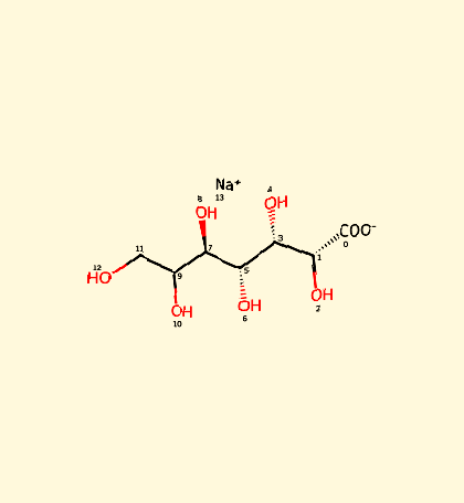 O=C([O-])[C@H](O)[C@@H](O)[C@H](O)[C@H](O)C(O)CO.[Na+]